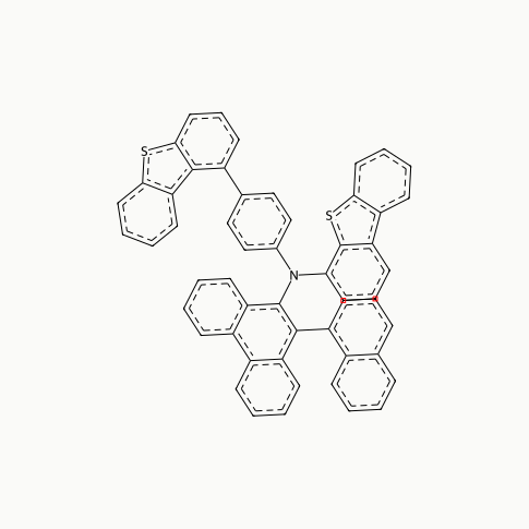 c1ccc2c(-c3c(N(c4ccc(-c5cccc6sc7ccccc7c56)cc4)c4cccc5c4sc4ccccc45)c4ccccc4c4ccccc34)cccc2c1